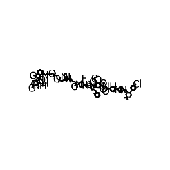 CC1(C)CCC(c2ccc(Cl)cc2)=C(CN2CCN(c3ccc(C(=O)NS(=O)(=O)c4ccc(N[C@H](CCN5CCN(C(=O)CCCn6cc(CC(C)(C)OCC(C)(C)OCCNc7cccc8c7C(=O)N(C7CCC(=O)NC7=O)C8=O)nn6)CC5)CSc5ccccc5)c(S(=O)(=O)C(F)(F)F)c4)cc3)CC2)C1